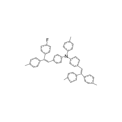 Cc1ccc(C(=Cc2ccc(N(c3ccc(C)cc3)c3ccc(C=C(c4ccc(C)cc4)c4ccc(F)cc4)cc3)cc2)c2ccc(C)cc2)cc1